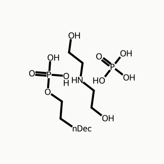 CCCCCCCCCCCCOP(=O)(O)O.O=P(O)(O)O.OCCNCCO